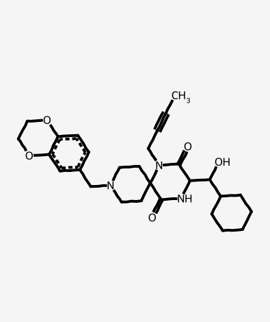 CC#CCN1C(=O)C(C(O)C2CCCCC2)NC(=O)C12CCN(Cc1ccc3c(c1)OCCO3)CC2